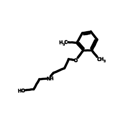 Cc1c[c]cc(C)c1OCCCNCCO